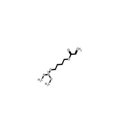 C=CC(=O)OCCCCO[SiH](OC)OC